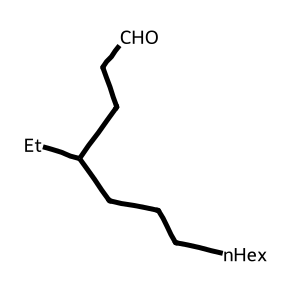 CCCCCCCCCC(CC)CCC=O